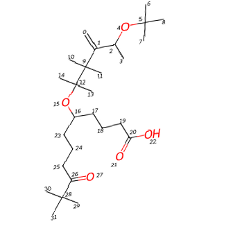 C=C(C(C)OC(C)(C)C)C(C)(C)C(C)(C)OC(CCCC(=O)O)CCCC(=O)C(C)(C)C